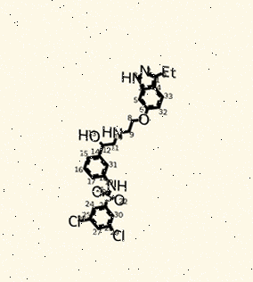 CCc1n[nH]c2cc(OCCNCC(O)c3cccc(NS(=O)(=O)c4cc(Cl)cc(Cl)c4)c3)ccc12